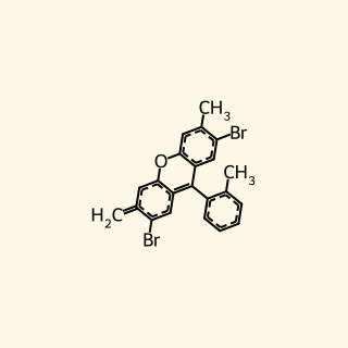 C=c1cc2c(cc1Br)=C(c1ccccc1C)c1cc(Br)c(C)cc1O2